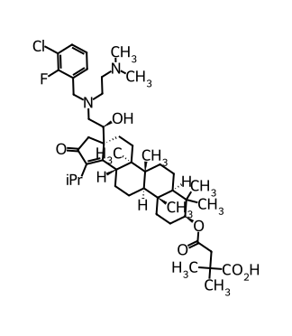 CC(C)C1=C2[C@H]3CC[C@@H]4[C@@]5(C)CC[C@H](OC(=O)CC(C)(C)C(=O)O)C(C)(C)[C@@H]5CC[C@@]4(C)[C@]3(C)CC[C@@]2([C@H](O)CN(CCN(C)C)Cc2cccc(Cl)c2F)CC1=O